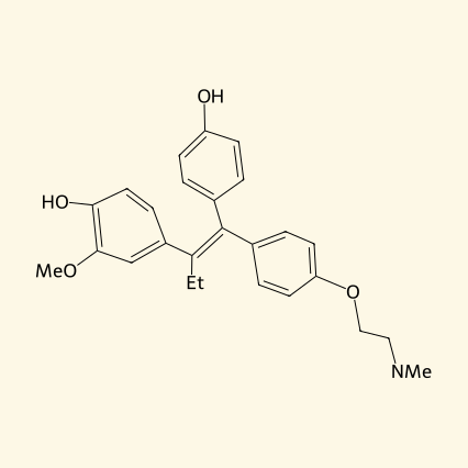 CCC(=C(c1ccc(O)cc1)c1ccc(OCCNC)cc1)c1ccc(O)c(OC)c1